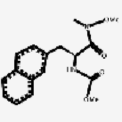 COC(=O)N[C@@H](Cc1ccc2ccccc2c1)C(=O)N(C)OC